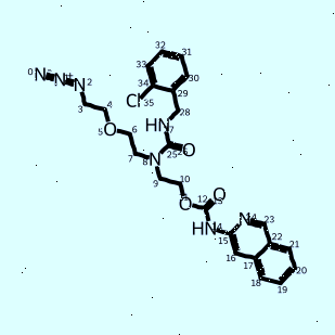 [N-]=[N+]=NCCOCCN(CCOC(=O)Nc1cc2ccccc2cn1)C(=O)NCc1ccccc1Cl